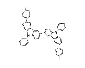 Cc1ccc(-c2ccc3c(c2)c2cc(-c4ccc5c(c4)c4cc(-c6ccc(C)cc6)ccc4n5-c4ccccc4)ccc2n3-c2ccccc2)cc1